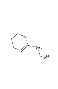 O=S(=O)(O)NC1=CCCCC1